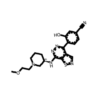 COCCN1CCC[C@@H](Nc2nnc(-c3ccc(C#N)cc3O)c3cnsc23)C1